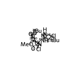 COC(=O)c1c(Cl)nc(CNc2n[nH]c3cc(Cl)c(C(C)(C)C)cc23)n1[C@@H]1CCN(C(=O)OC(C)(C)C)C1